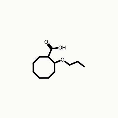 CCCOC1CCCCCCC1C(=O)O